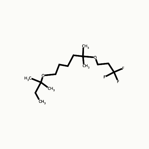 CCC(C)(C)OCCCCC(C)(C)OCCC(F)(F)F